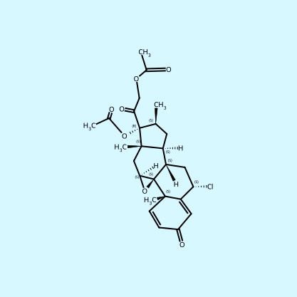 CC(=O)OCC(=O)[C@@]1(OC(C)=O)[C@@H](C)C[C@H]2[C@@H]3C[C@H](Cl)C4=CC(=O)C=C[C@]4(C)[C@@]34O[C@H]4C[C@@]21C